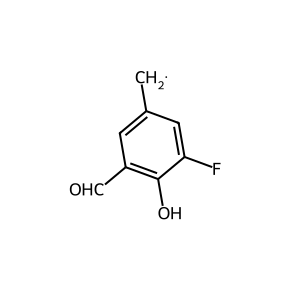 [CH2]c1cc(F)c(O)c(C=O)c1